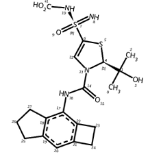 CC(C)(O)[C@@H]1SC([S@@](=N)(=O)NC(=O)O)=CN1C(=O)Nc1c2c(cc3c1CC3)CCC2